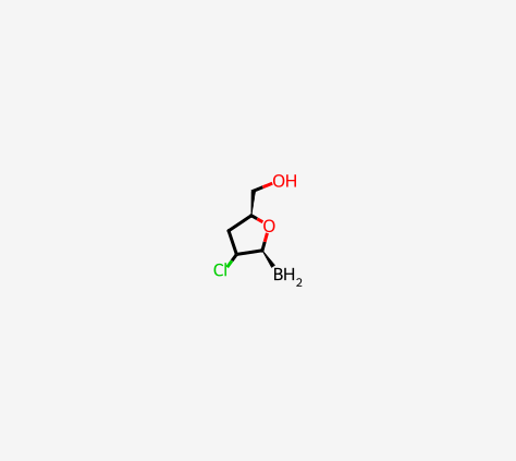 B[C@@H]1O[C@H](CO)CC1Cl